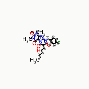 CCCCCCc1c(O)n2c3c(=O)n(C)c(=O)n(C)c3nc2n(Cc2ccc(F)cc2)c1=O